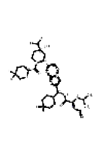 CC(C)N/C(=N\C=N)C(=O)N[C@H](c1cn2ncc([C@H]3C[C@](O)(C(F)F)CCN3C(=O)[C@@H]3CCC(F)(F)CO3)nc2n1)C1CCC(F)(F)CC1